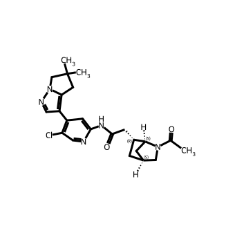 CC(=O)N1C[C@H]2C[C@H](CC(=O)Nc3cc(-c4cnn5c4CC(C)(C)C5)c(Cl)cn3)[C@@H]1C2